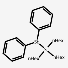 CCCCCC[Si](CCCCCC)(CCCCCC)[Sb]([c]1ccccc1)[c]1ccccc1